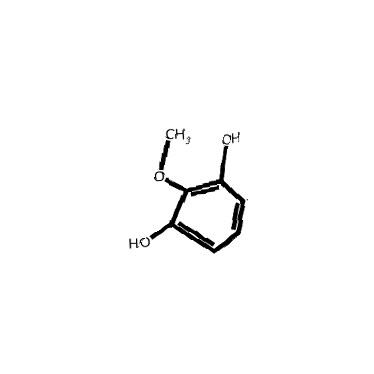 COc1c(O)[c]ccc1O